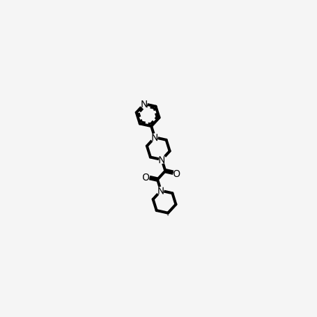 O=C(C(=O)N1CCN(c2ccncc2)CC1)N1CC[CH]CC1